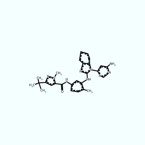 Cc1ccc(NC(=O)c2cc(C(C)(C)C)nn2C)cc1Nc1nc2ccccc2n1-c1cc(N)ncn1